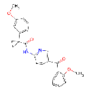 COc1cccc(C2(C(=O)Nc3ccc(C(=O)c4ccccc4OC)cn3)CC2)c1